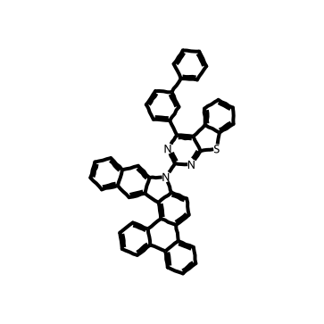 c1ccc(-c2cccc(-c3nc(-n4c5cc6ccccc6cc5c5c6c7ccccc7c7ccccc7c6ccc54)nc4sc5ccccc5c34)c2)cc1